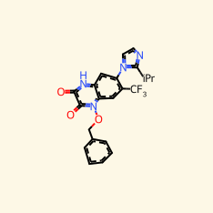 CC(C)c1nccn1-c1cc2[nH]c(=O)c(=O)n(OCc3ccccc3)c2cc1C(F)(F)F